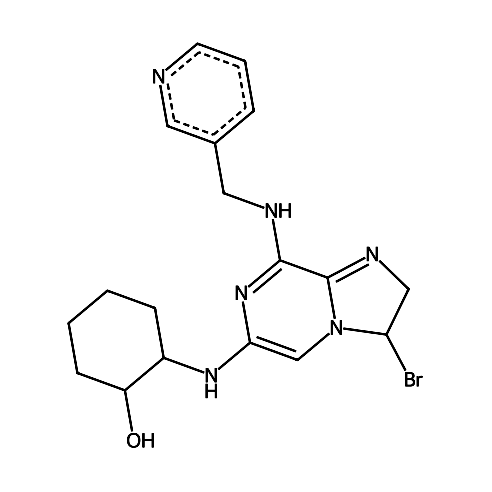 OC1CCCCC1NC1=CN2C(=NCC2Br)C(NCc2cccnc2)=N1